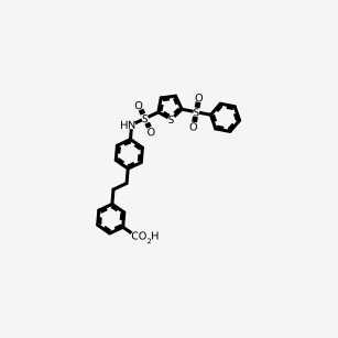 O=C(O)c1cccc(CCc2ccc(NS(=O)(=O)c3ccc(S(=O)(=O)c4ccccc4)s3)cc2)c1